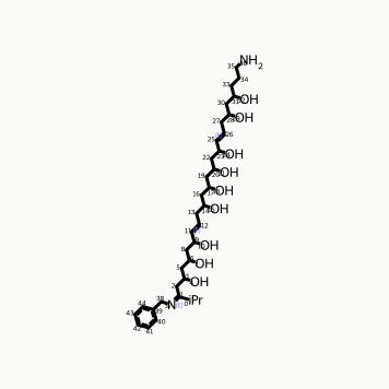 CC(C)/C(CC(O)CC(O)CC(O)/C=C/CC(O)CC(O)CC(O)CC(O)/C=C/CC(O)CC(O)CCCN)=N/Cc1ccccc1